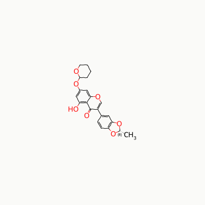 C[C@@H]1Oc2ccc(-c3coc4cc(OC5CCCCO5)cc(O)c4c3=O)cc2O1